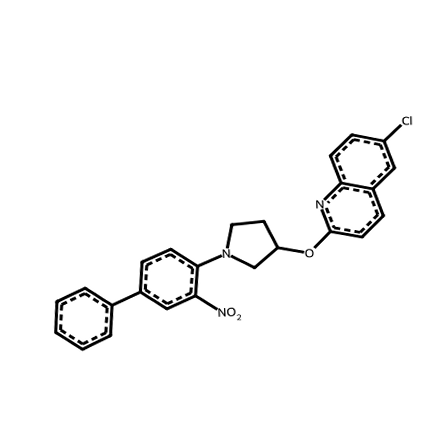 O=[N+]([O-])c1cc(-c2ccccc2)ccc1N1CCC(Oc2ccc3cc(Cl)ccc3n2)C1